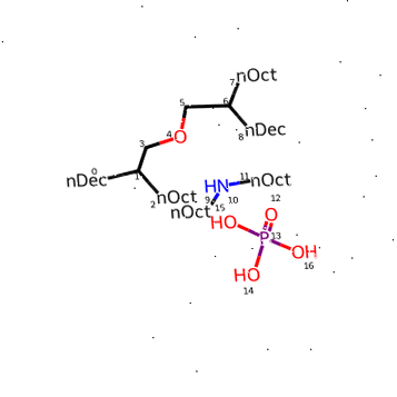 CCCCCCCCCCC(CCCCCCCC)COCC(CCCCCCCC)CCCCCCCCCC.CCCCCCCCNCCCCCCCC.O=P(O)(O)O